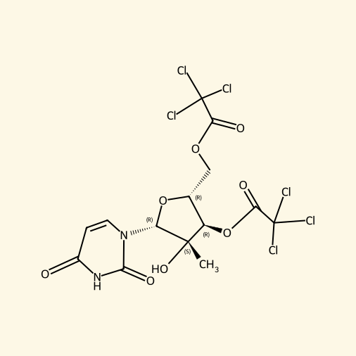 C[C@]1(O)[C@H](OC(=O)C(Cl)(Cl)Cl)[C@@H](COC(=O)C(Cl)(Cl)Cl)O[C@H]1n1ccc(=O)[nH]c1=O